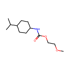 COCCOC(=O)NC1CCC(C(C)C)CC1